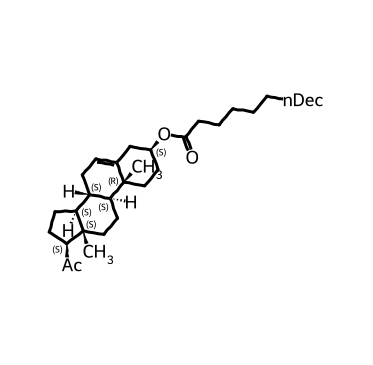 CCCCCCCCCCCCCCCC(=O)O[C@H]1CC[C@@]2(C)C(=CC[C@H]3[C@@H]4CC[C@H](C(C)=O)[C@@]4(C)CC[C@@H]32)C1